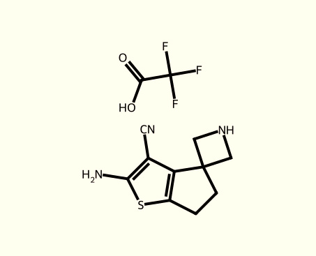 N#Cc1c(N)sc2c1C1(CC2)CNC1.O=C(O)C(F)(F)F